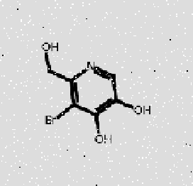 OCc1ncc(O)c(O)c1Br